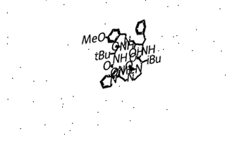 CCC(C)C(C(=O)NC(Cc1ccccc1)C(O)CN(Cc1ccc(OC)cc1)NC(=O)C(NC(=O)OC)C(C)(C)C)N1CCN(Cc2ncc3ccccn23)C1=O